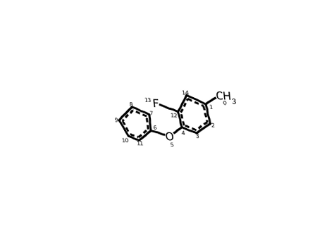 Cc1ccc(Oc2ccccc2)c(F)c1